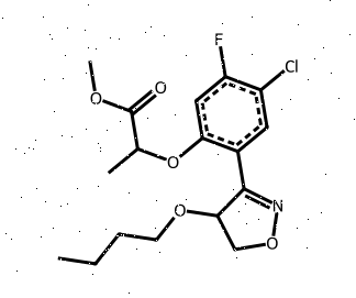 CCCCOC1CON=C1c1cc(Cl)c(F)cc1OC(C)C(=O)OC